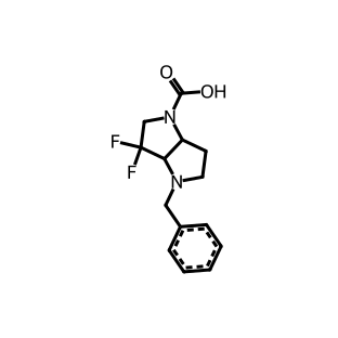 O=C(O)N1CC(F)(F)C2C1CCN2Cc1ccccc1